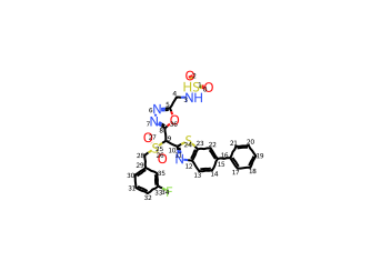 O=[SH](=O)NCc1nnc(C(c2nc3ccc(-c4ccccc4)cc3s2)S(=O)(=O)Cc2cccc(F)c2)o1